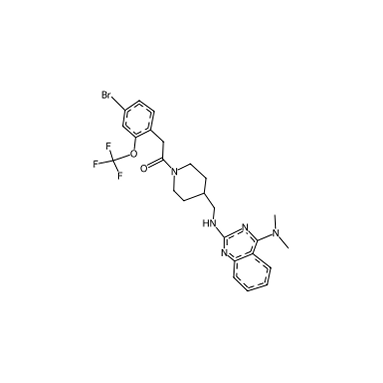 CN(C)c1nc(NCC2CCN(C(=O)Cc3ccc(Br)cc3OC(F)(F)F)CC2)nc2ccccc12